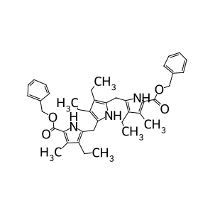 CCc1c(Cc2[nH]c(Cc3[nH]c(C(=O)OCc4ccccc4)c(C)c3CC)c(CC)c2CC)[nH]c(C(=O)OCc2ccccc2)c1C